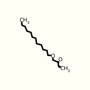 C=CC(=O)COCCCCCCCCCCCC